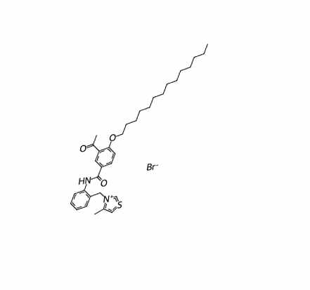 CCCCCCCCCCCCCCOc1ccc(C(=O)Nc2ccccc2C[n+]2cscc2C)cc1C(C)=O.[Br-]